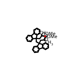 COC(=O)C(C)CC1(CC2(CC(C)C(=O)OC)c3ccccc3-c3ccccc32)c2ccccc2-c2ccccc21